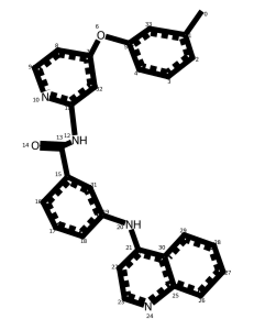 Cc1cccc(Oc2ccnc(NC(=O)c3cccc(Nc4ccnc5ccccc45)c3)c2)c1